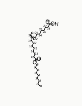 CCCCCCCCCOC(=O)CCCCCCCN(CC)CCCCCCCC(=O)O